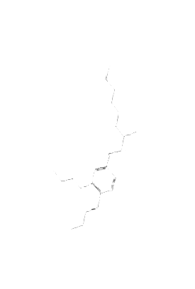 CCCCCCC(C)[CH]Cc1ccc(CCCC)c(CCCC)c1